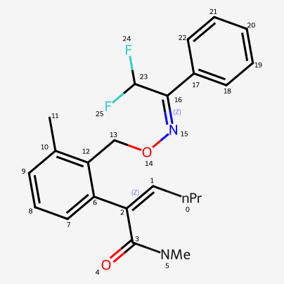 CCC/C=C(\C(=O)NC)c1cccc(C)c1CO/N=C(/c1ccccc1)C(F)F